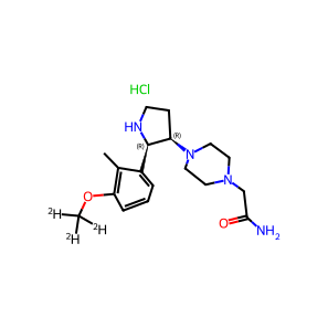 Cl.[2H]C([2H])([2H])Oc1cccc([C@H]2NCC[C@H]2N2CCN(CC(N)=O)CC2)c1C